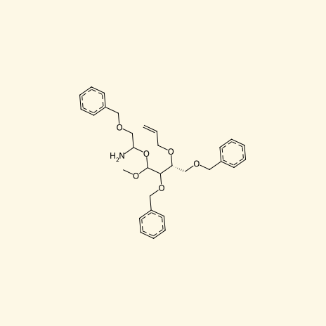 C=CCO[C@H](COCc1ccccc1)C(OCc1ccccc1)C(OC)OC(N)COCc1ccccc1